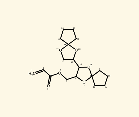 C=CC(=O)OCC1OC2(CCCC2)OC1C1COC2(CCCC2)O1